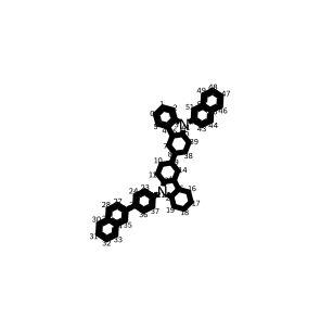 c1ccc2c(c1)C1CC(C3CCC4C(C3)C3CCCCC3N4c3ccc(-c4ccc5ccccc5c4)cc3)CCC1N2c1ccc2ccccc2c1